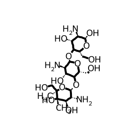 C[C@]1(CO)O[C@H](OC2[C@@H](CO)O[C@@H](OC3[C@@H](CO)O[C@@H](O)[C@H](N)[C@H]3O)[C@H](N)[C@H]2O)[C@H](N)[C@@H](O)[C@]1(C)O